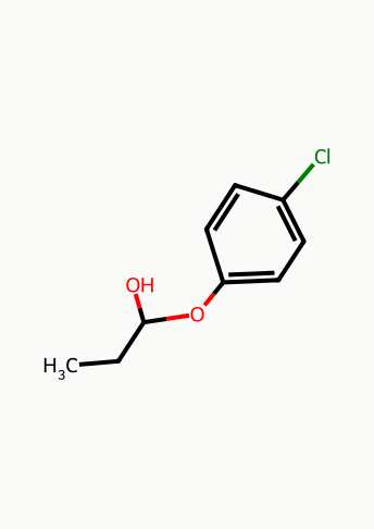 CCC(O)Oc1ccc(Cl)cc1